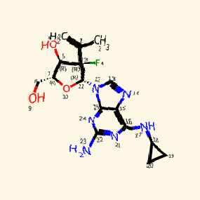 C=C(C)[C@@]1(F)[C@H](O)[C@@H](CO)O[C@H]1n1cnc2c(NC3CC3)nc(N)nc21